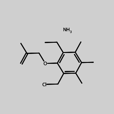 C=C(C)COc1c(CC)c(C)c(C)c(C)c1CCl.N